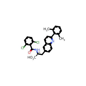 Cc1cccc(C)c1-c1ccc2cc(C[C@H](NC(=O)c3c(Cl)cccc3Cl)C(=O)O)ccc2n1